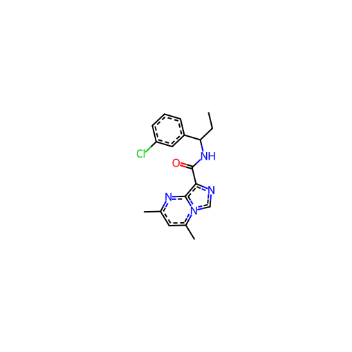 CCC(NC(=O)c1ncn2c(C)cc(C)nc12)c1cccc(Cl)c1